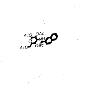 CC(=O)OCC1OC(OC(C)=O)C(OC(C)=O)C(NC(=O)c2ccc3ccccc3c2)C1OC(C)=O